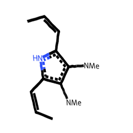 C/C=C\c1[nH]c(/C=C\C)c(NC)c1NC